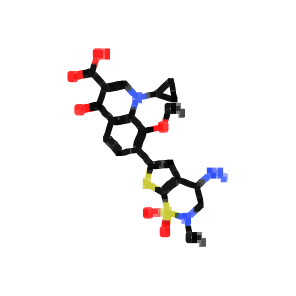 COc1c(-c2cc3c(s2)S(=O)(=O)N(C)CC3N)ccc2c(=O)c(C(=O)O)cn(C3CC3)c12